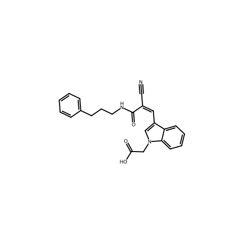 N#CC(=Cc1cn(CC(=O)O)c2ccccc12)C(=O)NCCCc1ccccc1